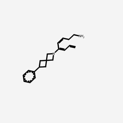 C=C/C=C(\C=C/CCN)N1CC2(CC(c3ccccc3)C2)C1